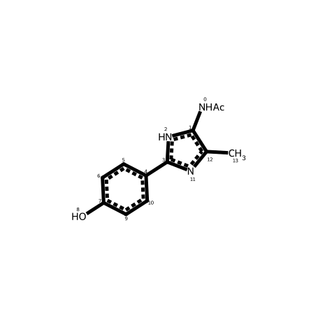 CC(=O)Nc1[nH]c(-c2ccc(O)cc2)nc1C